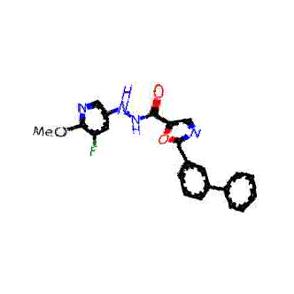 COc1ncc(NNC(=O)c2cnc(-c3cccc(-c4ccccc4)c3)o2)cc1F